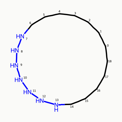 C1CCCCCCNNNNNNNCCCCC1